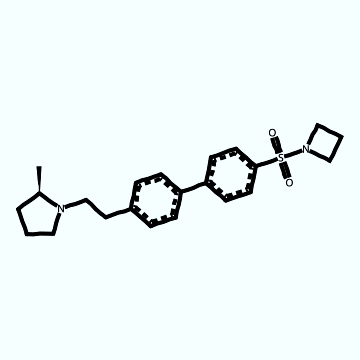 C[C@@H]1CCCN1CCc1ccc(-c2ccc(S(=O)(=O)N3CCC3)cc2)cc1